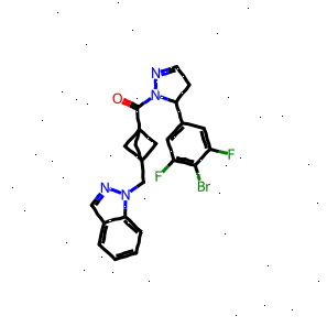 O=C(N1N=CCC1c1cc(F)c(Br)c(F)c1)C12CC(Cn3ncc4ccccc43)(C1)C2